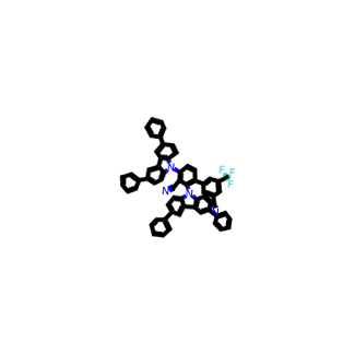 N#Cc1cc(-c2ccc(-n3c4ccc(-c5ccccc5)cc4c4cc(-c5ccccc5)ccc43)c(C#N)c2-n2c3ccc(-c4ccccc4)cc3c3cc(-c4ccccc4)ccc32)cc(C(F)(F)F)c1